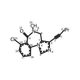 CC(C)C#Cc1ncn2c1CN(C)C(=O)c1c(Cl)cccc1-2